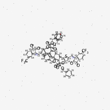 O=C1C(=O)c2ccc(C(F)(F)F)cc2/C1=C/c1cc2c(s1)C1=CC3C=C4C(=CC3C=C1C(C(=O)OCc1ccccc1)(C(=O)OCc1ccccc1)O2)c1sc(/C=C2\C(=O)C(=O)c3ccc(C(F)(F)F)cc32)cc1OC4(C(=O)OCc1ccccc1)C(=O)OCc1ccccc1